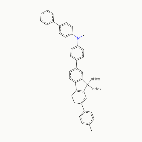 CCCCCCC1(CCCCCC)C2=C(CCC(c3ccc(C)cc3)=C2)c2ccc(-c3ccc(N(C)c4ccc(-c5ccccc5)cc4)cc3)cc21